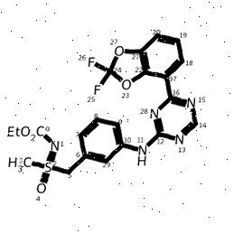 CCOC(=O)N=S(C)(=O)Cc1cccc(Nc2ncnc(-c3cccc4c3OC(F)(F)O4)n2)c1